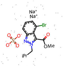 COC(=O)c1c2c(Br)cccc2nn1CC(C)C.O=S(=O)([O-])[O-].[Na+].[Na+]